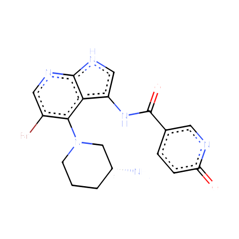 N[C@@H]1CCCN(c2c(Br)cnc3[nH]cc(NC(=O)c4ccc(=O)[nH]c4)c23)C1